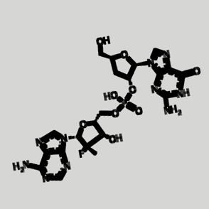 C[C@]1(F)[C@H](O)[C@@H](COP(=O)(O)O[C@@H]2C[C@@H](CO)O[C@H]2n2cnc3c(=O)[nH]c(N)nc32)O[C@H]1n1cnc2c(N)ncnc21